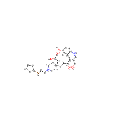 COc1ccc2ncc(CO)c([C@H](O)CCC3(CC(=O)O)CCN(CCSC4CCCC4)CC3)c2c1